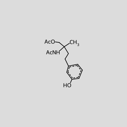 CC(=O)NC(C)(CCc1cccc(O)c1)COC(C)=O